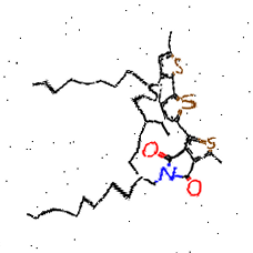 CCCCCCCCCCN1C(=O)c2c(C)sc(-c3cc4c(s3)-c3sc(C)cc3[Si]4(CCCCCCCC)CC(CC)CCCC)c2C1=O